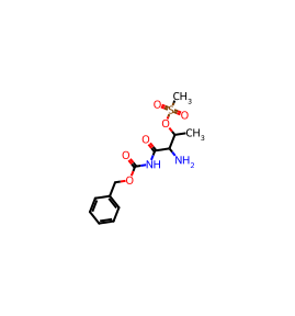 CC(OS(C)(=O)=O)C(N)C(=O)NC(=O)OCc1ccccc1